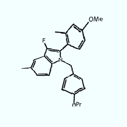 CCCc1ccc(Cn2c(-c3ccc(OC)cc3C)c(F)c3cc(C)ccc32)cc1